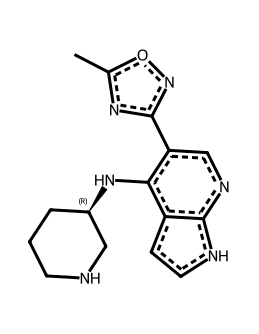 Cc1nc(-c2cnc3[nH]ccc3c2N[C@@H]2CCCNC2)no1